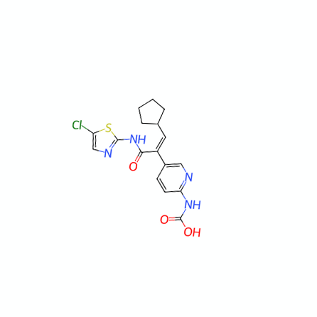 O=C(O)Nc1ccc(C(=CC2CCCC2)C(=O)Nc2ncc(Cl)s2)cn1